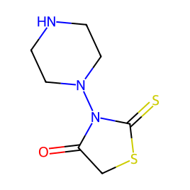 O=C1CSC(=S)N1N1CCNCC1